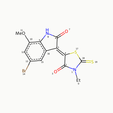 CCN1C(=O)/C(=C2/C(=O)Nc3c(OC)cc(Br)cc32)SC1=S